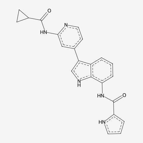 O=C(Nc1cccc2c(-c3ccnc(NC(=O)C4CC4)c3)c[nH]c12)c1ccc[nH]1